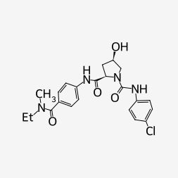 CCN(C)C(=O)c1ccc(NC(=O)[C@H]2C[C@@H](O)CN2C(=O)Nc2ccc(Cl)cc2)cc1